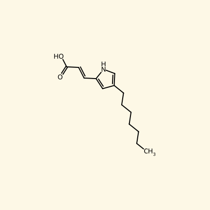 CCCCCCCc1c[nH]c(/C=C/C(=O)O)c1